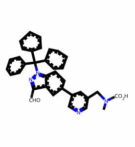 CN(Cc1cncc(-c2ccc3c(c2)c(C=O)nn3C(c2ccccc2)(c2ccccc2)c2ccccc2)c1)C(=O)O